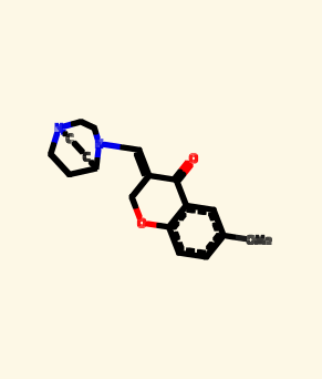 COc1ccc2c(c1)C(=O)C(=CN1CCN3CCC1CC3)CO2